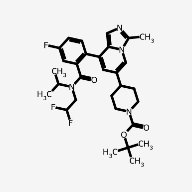 Cc1ncc2c(-c3ccc(F)cc3C(=O)N(CC(F)F)C(C)C)cc(C3CCN(C(=O)OC(C)(C)C)CC3)cn12